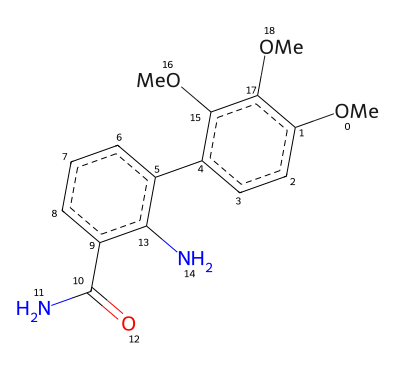 COc1ccc(-c2cccc(C(N)=O)c2N)c(OC)c1OC